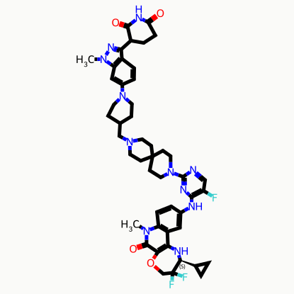 Cn1nc(C2CCC(=O)NC2=O)c2ccc(N3CCC(CN4CCC5(CC4)CCN(c4ncc(F)c(Nc6ccc7c(c6)c6c(c(=O)n7C)OCC(F)(F)[C@H](C7CC7)N6)n4)CC5)CC3)cc21